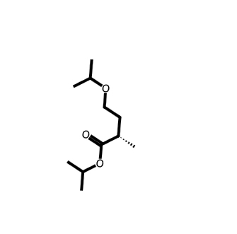 CC(C)OCC[C@H](C)C(=O)OC(C)C